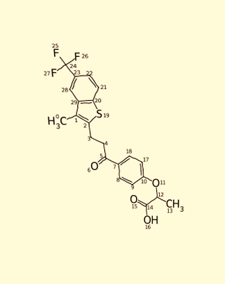 Cc1c(CCC(=O)c2ccc(OC(C)C(=O)O)cc2)sc2ccc(C(F)(F)F)cc12